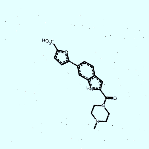 CN1CCN(C(=O)c2cc3ccc(-c4ccc(C(=O)O)o4)cc3[nH]2)CC1